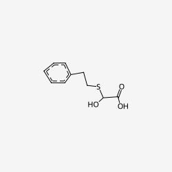 O=C(O)C(O)SCCc1ccccc1